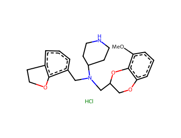 COc1cccc2c1OC(CN(Cc1cccc3c1OCC3)C1CCNCC1)CO2.Cl